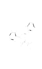 CCOC(=O)NC(C(=O)O)C(C)O.c1ccc(COCc2ccccc2)cc1